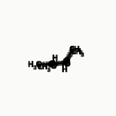 CC(C)CCCCCCCOOC(=O)NCCCCCCNC(=O)OOCCCCCCCC(C)C